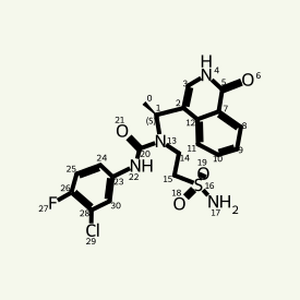 C[C@@H](c1c[nH]c(=O)c2ccccc12)N(CCS(N)(=O)=O)C(=O)Nc1ccc(F)c(Cl)c1